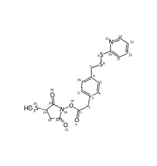 O=C(Cc1ccc(CSSc2ccccn2)cc1)ON1C(=O)CC(S(=O)(=O)O)C1=O